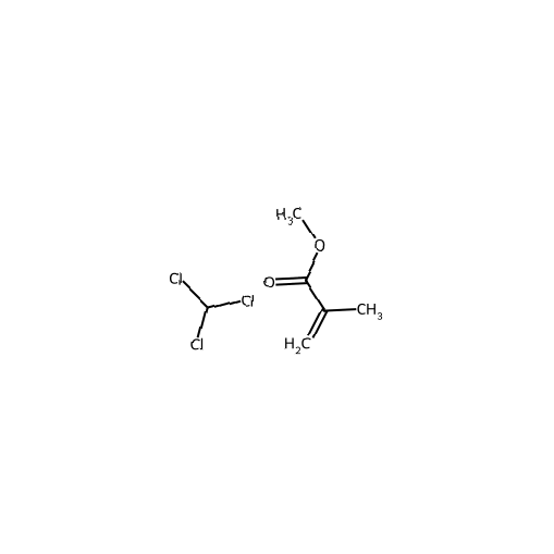 C=C(C)C(=O)OC.ClC(Cl)Cl